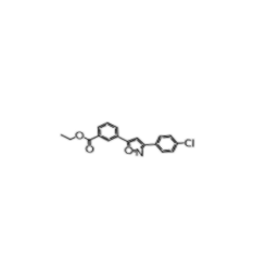 CCOC(=O)c1cccc(-c2cc(-c3ccc(Cl)cc3)no2)c1